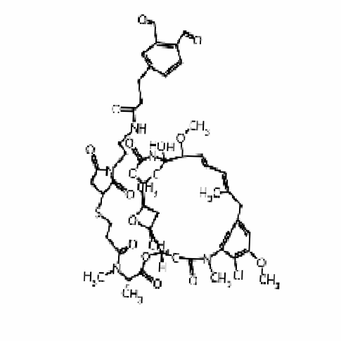 COc1cc2cc(c1Cl)N(C)C(=O)C[C@H](OC(=O)[C@H](C)N(C)C(=O)CCSC1CC(=O)N(CCNC(=O)CCc3ccc(C=O)c(C=O)c3)C1=O)C1(C)CC(C)(O1)C1CC(O)(NC(=O)O1)C(OC)/C=C/C=C(\C)C2